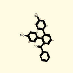 O=C(c1ccccc1)c1cccc(-c2ccc(O)cc2)c1-c1ccc(O)cc1